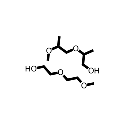 COC(C)COC(C)CO.COCCOCCO